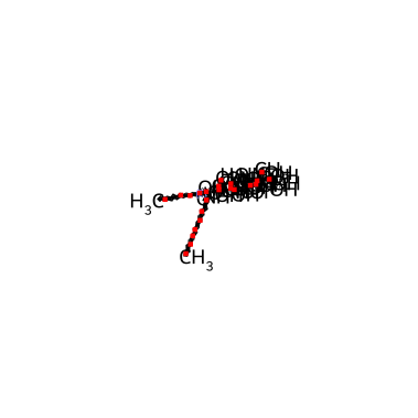 CCCCCCCCCCCCC/C=C/[C@@H](O)[C@H](CO[C@@H]1OC(CO)[C@@H](O[C@@H]2OC(CO)[C@H](O[C@@H]3OC(CO)[C@H](O[C@@H]4OC(CO)[C@H](O)[C@H](O[C@@H]5OC(CO)[C@H](O)[C@H](O)C5O)C4NC(C)=O)[C@H](O)C3O)[C@H](O)C2O)[C@H](O)C1O)NC(=O)CCCCCCCCCCCCCCCCCCC